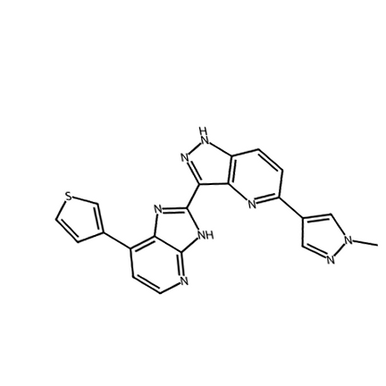 Cn1cc(-c2ccc3[nH]nc(-c4nc5c(-c6ccsc6)ccnc5[nH]4)c3n2)cn1